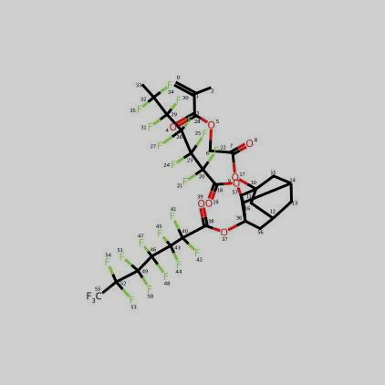 C=C(C)C(=O)OCC(=O)OC12CC3CC(C1)C(OC(=O)C(F)(F)C(F)(F)C(F)(F)C(F)(F)C(C)(F)F)C(OC(=O)C(F)(F)C(F)(F)C(F)(F)C(F)(F)C(F)(F)C(F)(F)F)(C3)C2